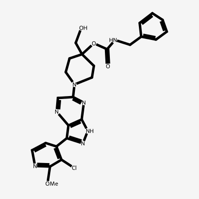 COc1nccc(-c2n[nH]c3nc(N4CCC(CO)(OC(=O)NCc5ccccc5)CC4)cnc23)c1Cl